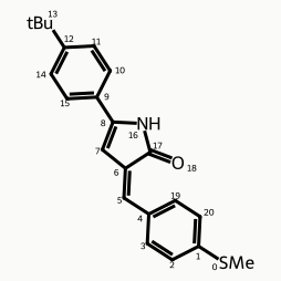 CSc1ccc(C=C2C=C(c3ccc(C(C)(C)C)cc3)NC2=O)cc1